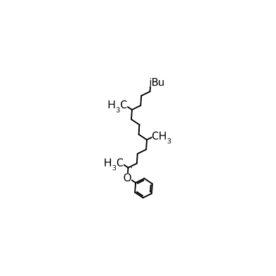 CCC(C)CCCC(C)CCCC(C)CCC[C](C)Oc1ccccc1